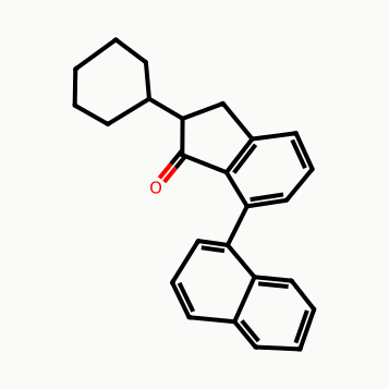 O=C1c2c(cccc2-c2cccc3ccccc23)CC1C1CCCCC1